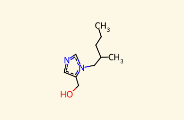 CCCC(C)Cn1cncc1CO